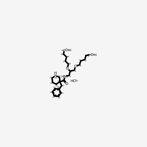 CCCCCCCCCCCCCCOCC(CNC(=O)C1(Cc2ccccc2)CCCNC1)OCCCCCCCCCCCCCC.Cl